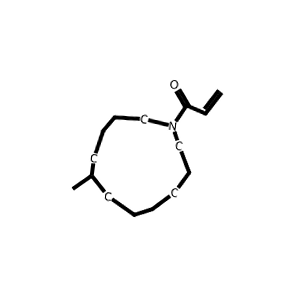 C=CC(=O)N1CCCCCCC(C)CCCC1